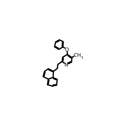 Cc1cnc(CCc2cccc3ccccc23)cc1Oc1ccccc1